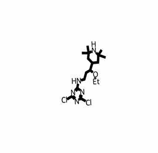 CCOC(CCNc1nc(Cl)nc(Cl)n1)C1CC(C)(C)NC(C)(C)C1